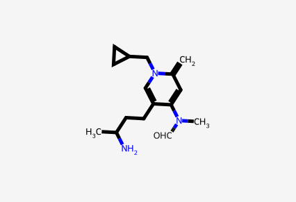 C=C1C=C(N(C)C=O)C(CCC(C)N)=CN1CC1CC1